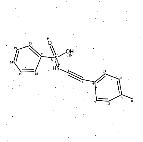 Cc1ccc(C#C[SH]=S(=O)(O)c2ccccc2)cc1